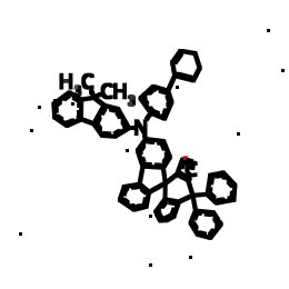 CC1(C)c2ccccc2-c2ccc(N(c3ccc(C4=CCCC=C4)cc3)c3ccc4c(c3)-c3ccccc3C43c4ccccc4C(c4ccccc4)(c4ccccc4)c4ccccc43)cc21